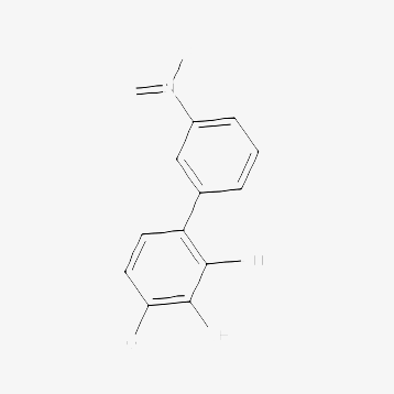 Cc1c([O])ccc(-c2cccc([N+](=O)[O-])c2)c1C